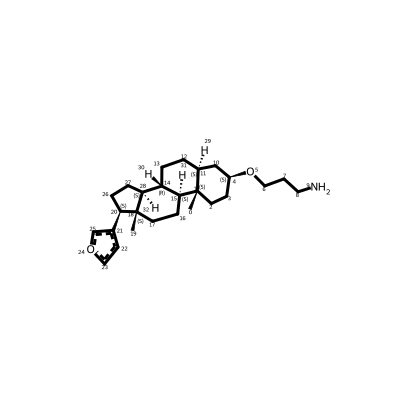 C[C@]12CC[C@H](OCCCN)C[C@@H]1CC[C@@H]1[C@@H]2CC[C@]2(C)[C@@H](c3ccoc3)CC[C@@H]12